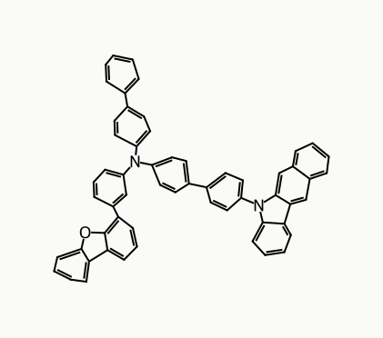 c1ccc(-c2ccc(N(c3ccc(-c4ccc(-n5c6ccccc6c6cc7ccccc7cc65)cc4)cc3)c3cccc(-c4cccc5c4oc4ccccc45)c3)cc2)cc1